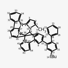 Cc1ccc2n1C1c3c4cc(-c5cc(C(C)(C)C)ccc5-c5ccccc5)cc3-c3ccc5c6ccccc6n-2c5[n+]3C1[n+]1ccccc1-4